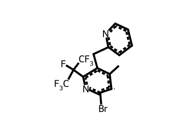 Cc1[c]c(Br)nc(C(F)(C(F)(F)F)C(F)(F)F)c1Cc1ccccn1